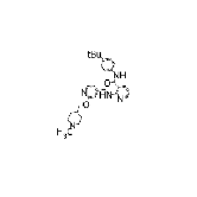 CN1CCC(COc2cc(CNc3ncccc3C(=O)Nc3ccc(C(C)(C)C)cc3)ccn2)CC1